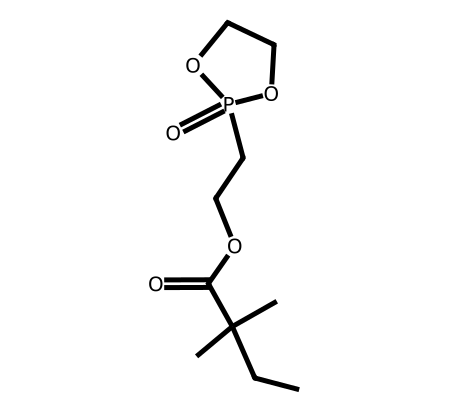 CCC(C)(C)C(=O)OCCP1(=O)OCCO1